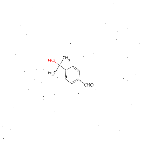 CC(C)(O)c1ccc(C=O)cc1